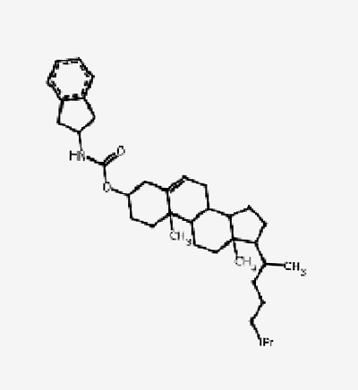 CC(C)CCCC(C)C1CCC2C3CC=C4CC(OC(=O)NC5Cc6ccccc6C5)CCC4(C)C3CCC12C